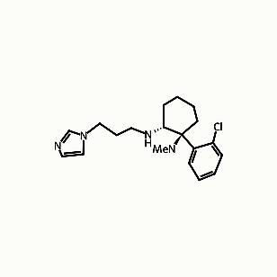 CN[C@]1(c2ccccc2Cl)CCCC[C@H]1NCCCn1ccnc1